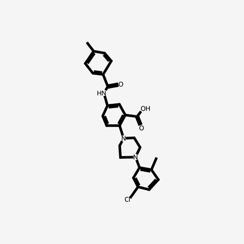 Cc1ccc(C(=O)Nc2ccc(N3CCN(c4cc(Cl)ccc4C)CC3)c(C(=O)O)c2)cc1